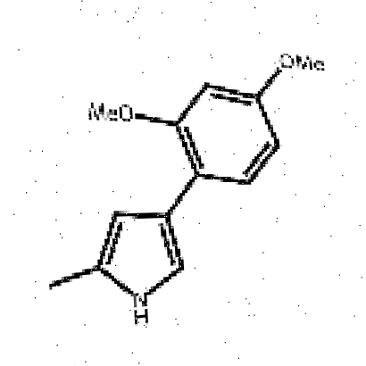 COc1ccc(-c2c[nH]c(C)c2)c(OC)c1